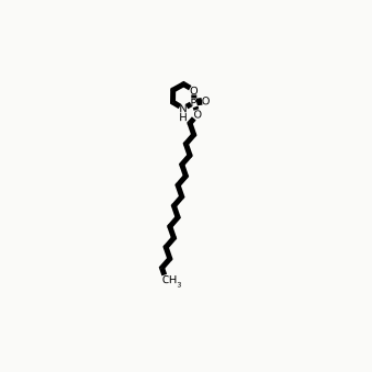 CCCCCCCCCCCCCCCCOP1(=O)NCCCO1